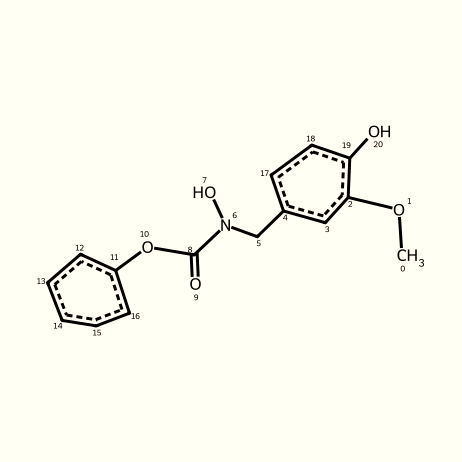 COc1cc(CN(O)C(=O)Oc2ccccc2)ccc1O